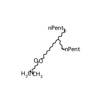 CCCCC/C=C\CCCC(CCC/C=C\CCCCC)CCCCCCCCCCCOC(=O)CCCCN(C)C